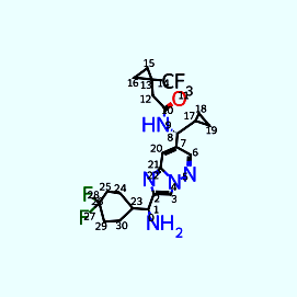 N[C@H](c1cn2ncc([C@H](NC(=O)CC3(C(F)(F)F)CC3)C3CC3)cc2n1)C1CCC(F)(F)CC1